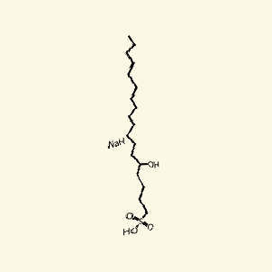 CCCCCCCCCCCCCC(O)CCCCS(=O)(=O)O.[NaH]